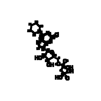 O=P(O)(O)CP(=O)(O)OC[C@H]1O[C@@H](c2cnc3c(N4CCCCC4)nc(Cl)nn23)[C@H](O)[C@@H]1O